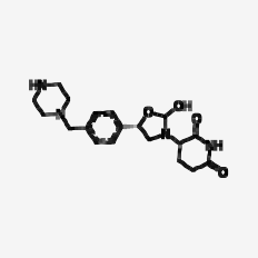 O=C1CCC(N2C[C@H](c3ccc(CN4CCNCC4)cc3)OC2O)C(=O)N1